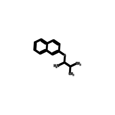 CC(C)C(N)Sc1ccc2ccccc2c1